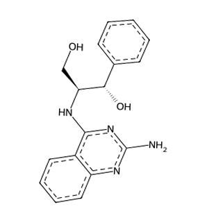 Nc1nc(N[C@@H](CO)[C@@H](O)c2ccccc2)c2ccccc2n1